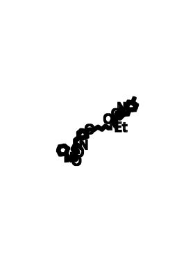 CCN(CCCCCOc1ccc2cc3cc(C(=O)N(C)C4CCCCC4)oc3nc2c1)C(=O)c1cc2cc3ccc(C)cc3nc2o1